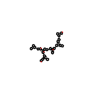 C1=C(c2ccc3c(c2)c2ccc(-c4ccc5c(ccc6c5c5cc(-c7ccc8c(c7)c7cc9ccccc9cc7n8-c7ccccc7)ccc5n6-c5ccc6cc(-c7cc8c9c(cccc9c7)-c7ccccc7-8)ccc6c5)c4)cc2n3-c2ccccc2)C=C2c3cc4ccccc4cc3N(c3ccc4cc(-c5cc6c7c(cccc7c5)-c5ccccc5-6)ccc4c3)C2C1